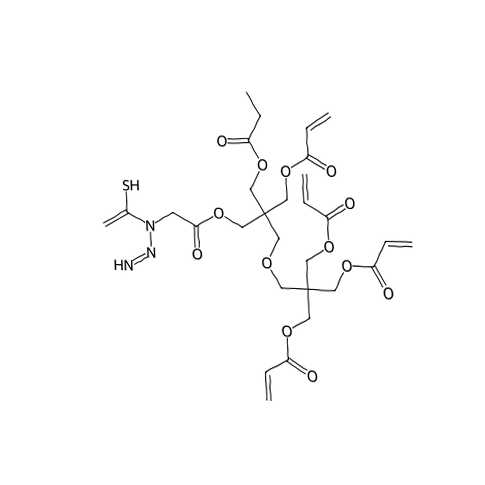 C=CC(=O)OCC(COCC(COC(=O)C=C)(COC(=O)CC)COC(=O)CN(N=N)C(=C)S)(COC(=O)C=C)COC(=O)C=C